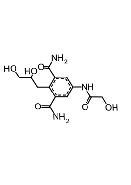 NC(=O)c1cc(NC(=O)CO)cc(C(N)=O)c1CC(O)CO